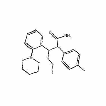 CCCC(c1ccccc1N1CCCCC1)C(C(N)=O)c1ccc(C)cc1